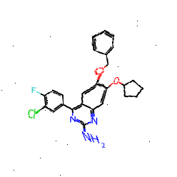 Nc1nc(-c2ccc(F)c(Cl)c2)c2cc(OCc3ccccc3)c(OC3CCCC3)cc2n1